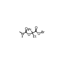 CCC(OC(=O)N(C)C)(C(=O)OBr)C(C)C